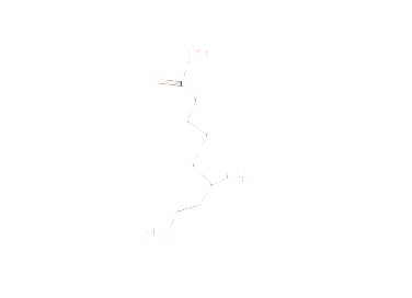 CCCC(C)CCCCC(O)=S